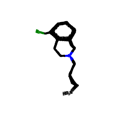 O=S(=O)(O)CCCN1CCc2c(Br)cccc2C1